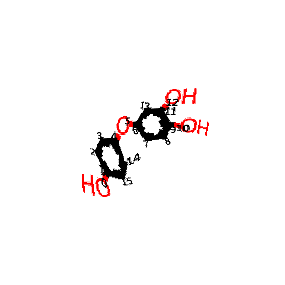 Oc1ccc(Oc2ccc(O)c(O)c2)cc1